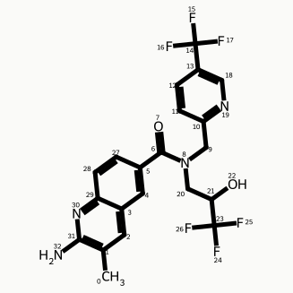 Cc1cc2cc(C(=O)N(Cc3ccc(C(F)(F)F)cn3)CC(O)C(F)(F)F)ccc2nc1N